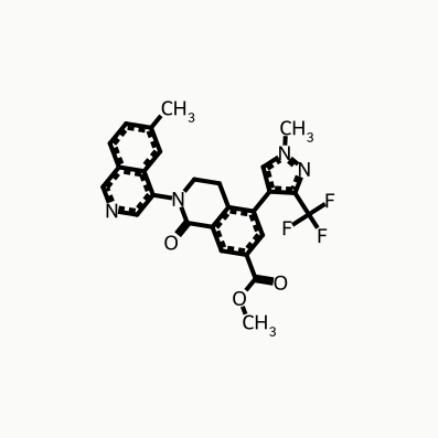 COC(=O)c1cc2c(c(-c3cn(C)nc3C(F)(F)F)c1)CCN(c1cncc3ccc(C)cc13)C2=O